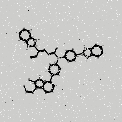 C=C/C(=C\C=C(/C)N(c1ccc(-c2nc3ccccc3o2)cc1)c1ccc(-c2cccc3c(/C=C\C)c(C)sc23)cc1)c1nc2ccccc2o1